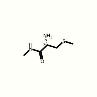 CNC(=O)[C@H](N)CSC